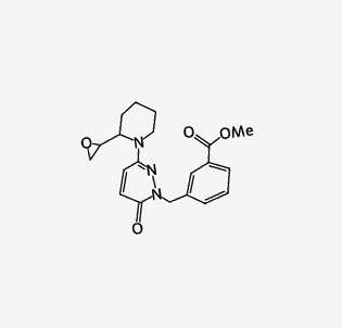 COC(=O)c1cccc(Cn2nc(N3CCCCC3C3CO3)ccc2=O)c1